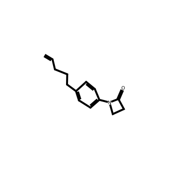 C=CCCCc1ccc(N2CCC2=O)cc1